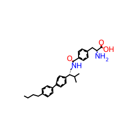 CCCCc1ccc(-c2ccc([C@H](CNC(=O)c3ccc(C[C@H](N)C(=O)O)cc3)C(C)C)cc2)cc1